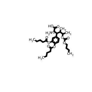 CCCCOC(=O)OC(C)C(C)C(c1ccc(OC(=O)CCCC)c(OC(=O)CCCC)c1)[C@H](N)C(=O)O